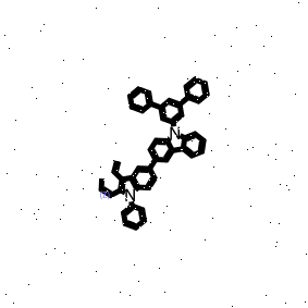 C=Cc1c(/C=C\C)n(-c2ccccc2)c2ccc(-c3ccc4c(c3)c3ccccc3n4-c3cc(-c4ccccc4)cc(-c4ccccc4)c3)cc12